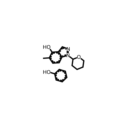 Cc1ccc2c(cnn2C2CCCCO2)c1O.Oc1ccccc1